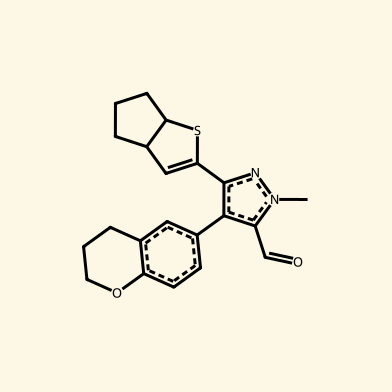 Cn1nc(C2=CC3CCCC3S2)c(-c2ccc3c(c2)CCCO3)c1C=O